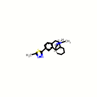 Cc1nnc(-c2ccc3c(c2)[C@]24CCCC[C@@H]2[C@H](C3)N(C)CC4)s1